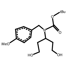 COc1ccc(CN(C(=O)OC(C)(C)C)C(CCO)CCO)cc1